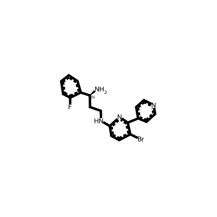 N[C@@H](CCNc1ccc(Br)c(-c2ccncc2)n1)c1ccccc1F